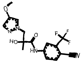 COc1cnn(CC(C)(O)C(=O)Nc2ccc(C#N)c(C(F)(F)F)c2)c1